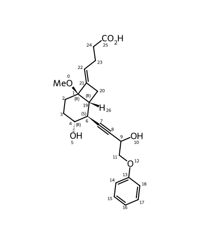 CO[C@]12CC[C@@H](O)[C@H](C#CC(O)COc3ccccc3)[C@H]1CC2=CCCC(=O)O